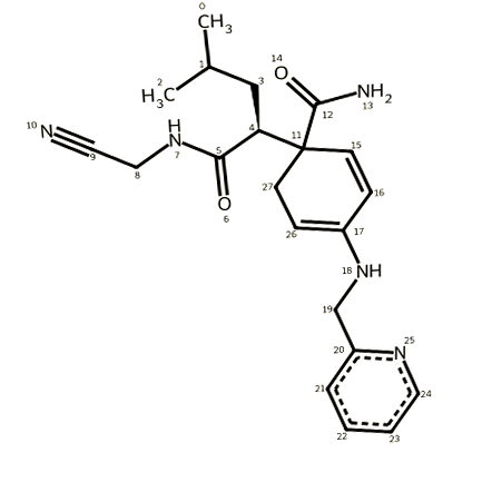 CC(C)C[C@H](C(=O)NCC#N)C1(C(N)=O)C=CC(NCc2ccccn2)=CC1